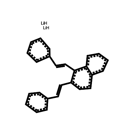 C(=C\c1ccc2ccccc2c1/C=C/c1ccccc1)/c1ccccc1.[LiH].[LiH]